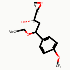 COCOC(C[C@H](O)[C@@H]1CO1)c1ccc(OC(F)(F)F)cc1